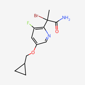 CC(Br)(C(N)=O)c1ncc(OCC2CC2)cc1F